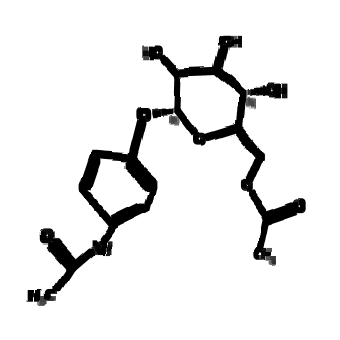 CC(=O)Nc1ccc(O[C@H]2OC(COC(C)=O)[C@@H](O)C(O)C2O)cc1